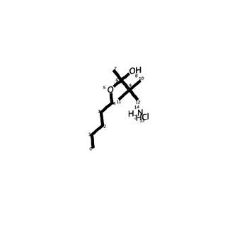 CCCCCOC(C)(O)C(C)(C)C.Cl.N